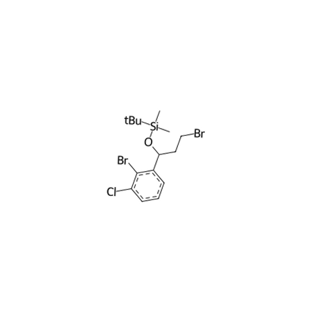 CC(C)(C)[Si](C)(C)OC(CCBr)c1cccc(Cl)c1Br